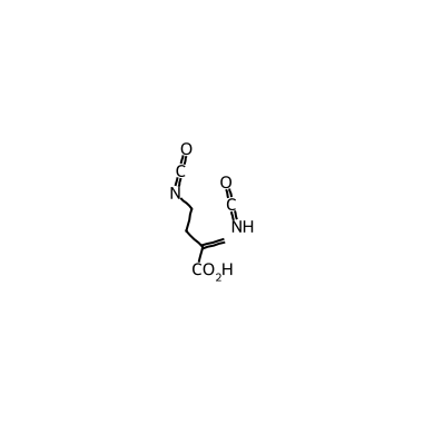 C=C(CCN=C=O)C(=O)O.N=C=O